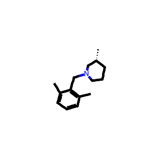 Cc1cccc(C)c1CN1CCC[C@@H](C)C1